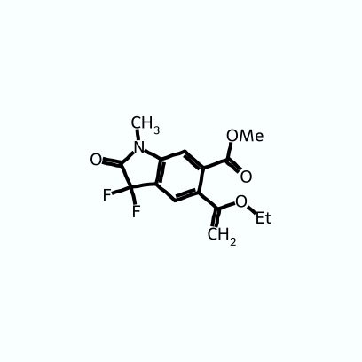 C=C(OCC)c1cc2c(cc1C(=O)OC)N(C)C(=O)C2(F)F